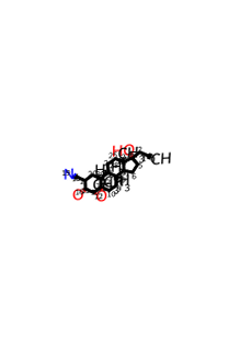 C#CCC1(O)CC[C@H]2[C@@H]3CCC45OC4(C)C(=O)C(C#N)C[C@]5(C)[C@@H]3CC[C@@]21C